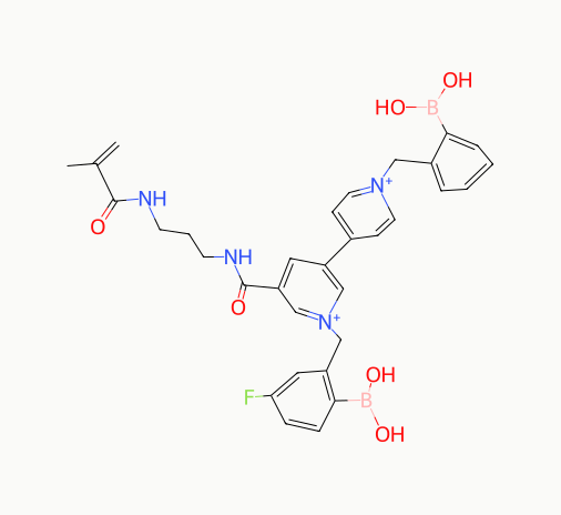 C=C(C)C(=O)NCCCNC(=O)c1cc(-c2cc[n+](Cc3ccccc3B(O)O)cc2)c[n+](Cc2cc(F)ccc2B(O)O)c1